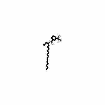 CCCCCCCCCCCCCCC(CCC)OC(=O)C1CCCC(C(=O)O)C1